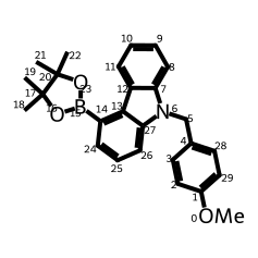 COc1ccc(Cn2c3ccccc3c3c(B4OC(C)(C)C(C)(C)O4)cccc32)cc1